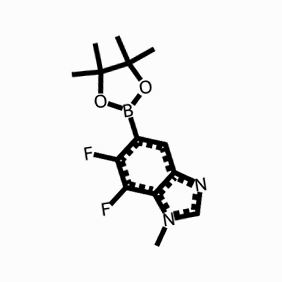 Cn1cnc2cc(B3OC(C)(C)C(C)(C)O3)c(F)c(F)c21